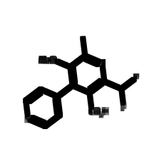 COc1c(C)nc(C(F)F)c(C(=O)O)c1-c1ccncc1